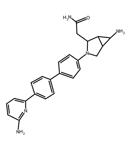 NC(=O)CC1C2C(N)C2CN1c1ccc(-c2ccc(-c3cccc(N)n3)cc2)cc1